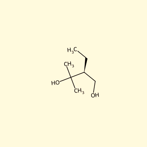 CC[C@@H](CO)C(C)(C)O